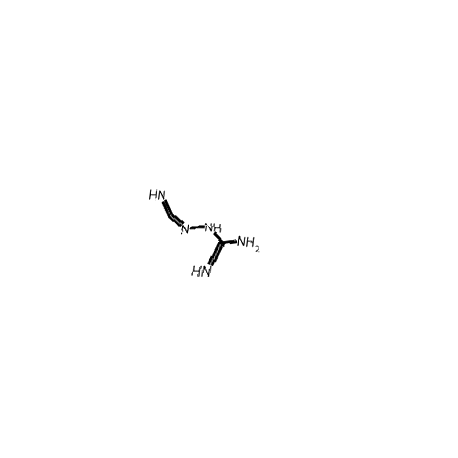 N=C=NNC(=N)N